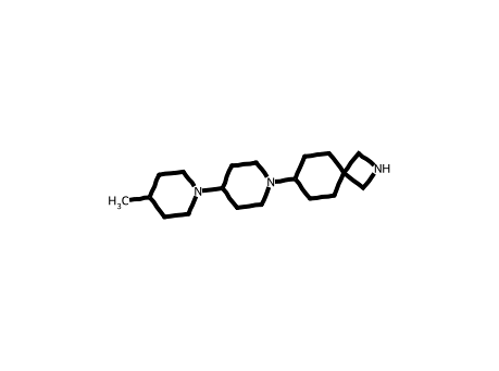 CC1CCN(C2CCN(C3CCC4(CC3)CNC4)CC2)CC1